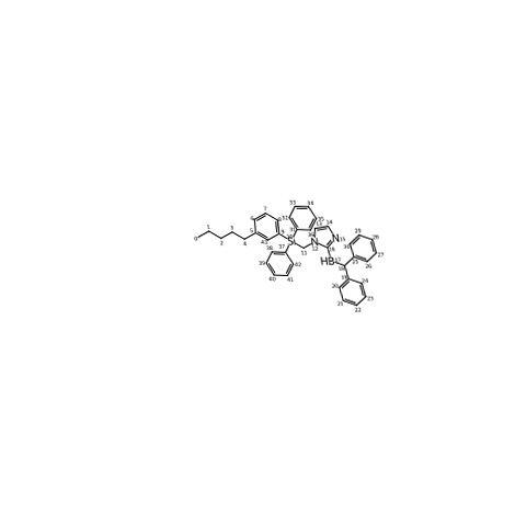 CCCCCc1cccc([Si](Cn2ccnc2BC(c2ccccc2)c2ccccc2)(c2ccccc2)c2ccccc2)c1